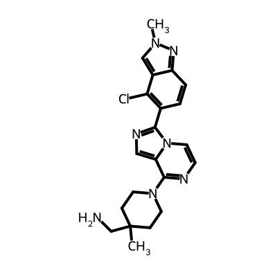 Cn1cc2c(Cl)c(-c3ncc4c(N5CCC(C)(CN)CC5)nccn34)ccc2n1